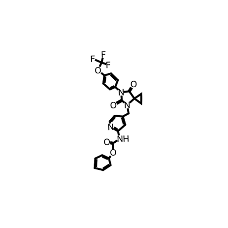 O=C(Nc1cc(CN2C(=O)N(c3ccc(OC(F)(F)F)cc3)C(=O)C23CC3)ccn1)Oc1ccccc1